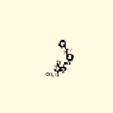 CCOC(=O)c1cnc(Cl)c2c(COc3cccc(NC(=O)c4ccccc4)c3)csc12